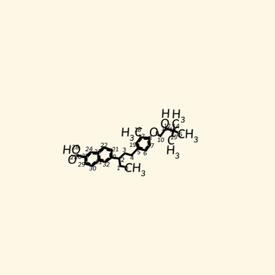 CCC(CCc1ccc(OCC(O)C(C)(C)C)c(C)c1)c1ccc2cc(C(=O)O)ccc2c1